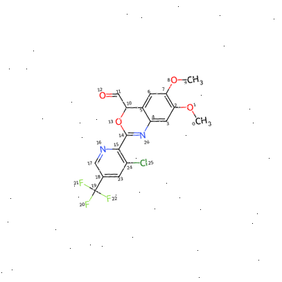 COc1cc2c(cc1OC)C(C=O)OC(c1ncc(C(F)(F)F)cc1Cl)=N2